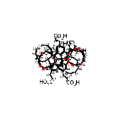 CCCCCCCCCCCCC(c1c(C2CCCCCCCCCCC2)cc(CCC(=O)O)cc1C1CCCCCCCCCCC1)C(C(=S)OCC(CO)(CO)CO)(c1c(C2CCCCCCCCCCC2)cc(CCC(=O)O)cc1C1CCCCCCCCCCC1)c1c(C2CCCCCCCCCCC2)cc(CCC(=O)O)cc1C1CCCCCCCCCCC1